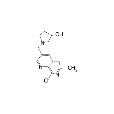 Cc1cc2cc(CN3CCC(O)C3)cnc2c(Cl)n1